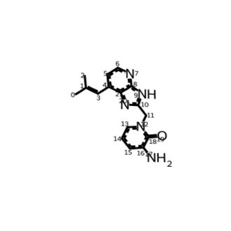 CC(C)=Cc1ccnc2[nH]c(Cn3cccc(N)c3=O)nc12